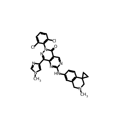 CN1Cc2cc(Nc3ncc4c(=O)n(-c5c(Cl)cccc5Cl)nc(-c5cn(C)cn5)c4n3)ccc2C2(CC2)C1